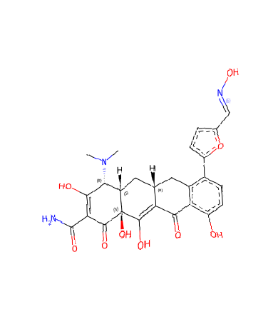 CN(C)[C@H]1C(O)=C(C(N)=O)C(=O)[C@@]2(O)C(O)=C3C(=O)c4c(O)ccc(-c5ccc(/C=N/O)o5)c4C[C@H]3C[C@@H]12